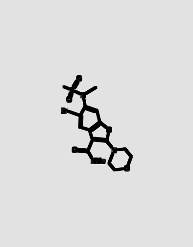 CNC(=O)c1c(N2CCOCC2)oc2cc(N(C)S(C)(=O)=O)c(Br)cc12